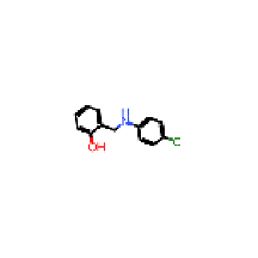 Oc1ccccc1CNc1ccc(Cl)cc1